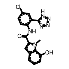 Cn1c(C(=O)Nc2ccc(Cl)cc2-c2nnn[nH]2)cc2cccc(O)c21